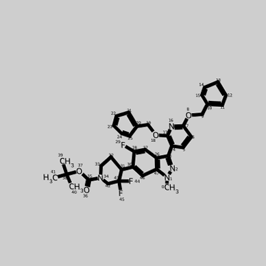 Cn1nc(-c2ccc(OCc3ccccc3)nc2OCc2ccccc2)c2cc(F)c(C3CCN(C(=O)OC(C)(C)C)CC3(F)F)cc21